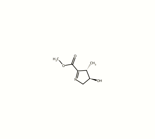 COC(=O)C1=NC[C@H](O)[C@H]1C